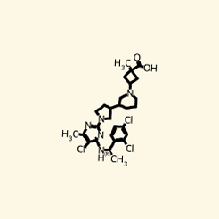 Cc1nc(N2CCC(C3CCCN(C4CC(C)(C(=O)O)C4)C3)C2)nc(N[C@H](C)c2ccc(Cl)cc2Cl)c1Cl